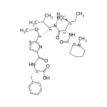 CC[C@H](C)[C@H](NC(=O)[C@H]1CCCCN1C)C(=O)N(C)[C@H](C[C@@H](OC)c1nc(C(=O)N[C@@H](Cc2ccccc2)C(=O)O)cs1)C(C)C